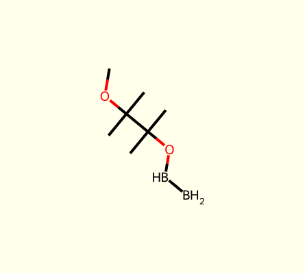 BBOC(C)(C)C(C)(C)OC